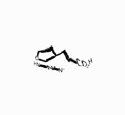 O=C(O)C=Cc1ccoc1.[N-]=[N+]=N